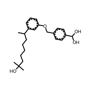 CC(CCCCCC(C)(C)O)c1cccc(OCc2ccc(C(O)O)cc2)c1